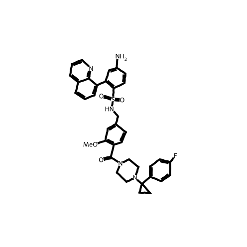 COc1cc(CNS(=O)(=O)c2ccc(N)cc2-c2cccc3cccnc23)ccc1C(=O)N1CCN(C2(c3ccc(F)cc3)CC2)CC1